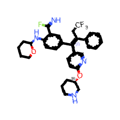 N=C(F)c1cc(/C(=C(\CC(F)(F)F)c2ccccc2)c2ccc(O[C@@H]3CCCNC3)nc2)ccc1NC1CCCCO1